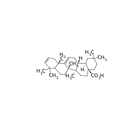 CC1(C)CC[C@]2(C(=O)O)CC[C@]3(C)[C@H](CC=C4[C@@]5(C)CC=CC(C)(C)C5CC[C@]43C)[C@H]2C1